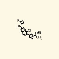 CCOC(C)n1cc(-c2ccc3nc(NC4CCC4F)nn3c2Cl)cn1